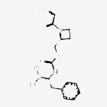 C=CC(=O)N1CC[C@H]1COC(=O)N[C@@H](Cc1ccccc1)B(O)O